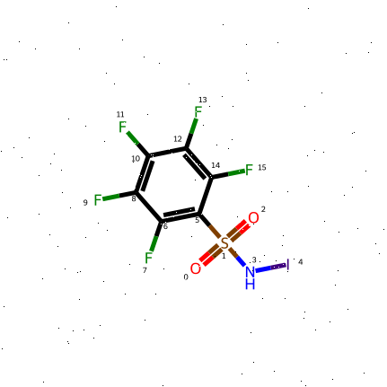 O=S(=O)(NI)c1c(F)c(F)c(F)c(F)c1F